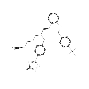 CC(C)(C)c1ccc(COc2ccccc2C=CC(CCCCC#N)Cc2ccc(-c3n[nH]c(=O)o3)cc2)cc1